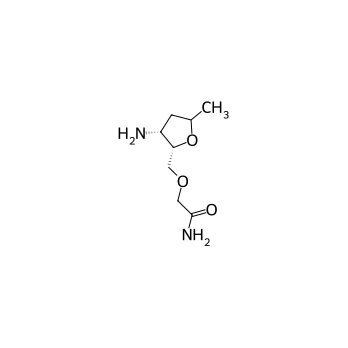 CC1C[C@@H](N)[C@@H](COCC(N)=O)O1